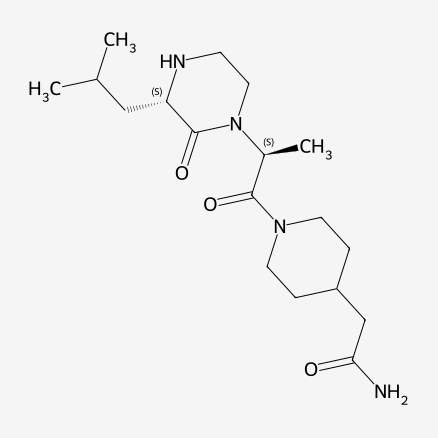 CC(C)C[C@@H]1NCCN([C@@H](C)C(=O)N2CCC(CC(N)=O)CC2)C1=O